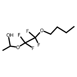 CCCCOC(F)(F)C(F)(F)OC(C)O